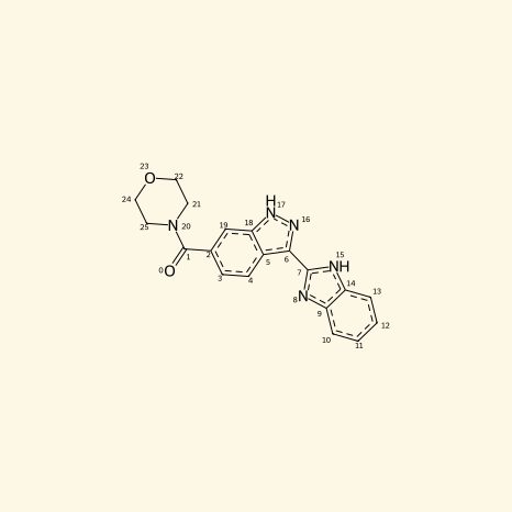 O=C(c1ccc2c(-c3nc4ccccc4[nH]3)n[nH]c2c1)N1CCOCC1